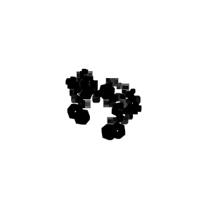 CN[C@@H](C)C(=O)N[C@H](C(=O)N1C[C@@H](NC(=O)c2cc(N)cc(C(=O)N[C@H]3C[C@@H](C(=O)N[C@@H]4CCCc5ccccc54)N(C(=O)[C@@H](NC(C)(OC)[C@H](C)NC)C(C)(C)C)C3)c2)C[C@H]1C(=O)N[C@@H]1CCCc2ccccc21)C(C)(C)C